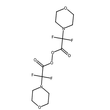 O=C(OOC(=O)C(F)(F)N1CCOCC1)C(F)(F)N1CCOCC1